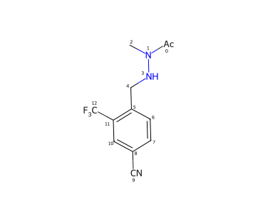 CC(=O)N(C)NCc1ccc(C#N)cc1C(F)(F)F